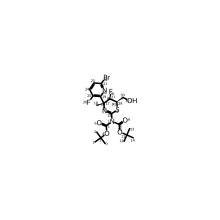 CC(C)(C)OC(=O)N(C(=O)OC(C)(C)C)C1=N[C@](C)(c2nc(Br)ccc2F)[C@@H](F)[C@@H](CO)S1